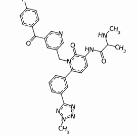 CNC(C)C(=O)Nc1ccc(-c2cccc(-c3nnn(C)n3)c2)n(Cc2cncc(C(=O)c3ccc(F)cc3)c2)c1=O